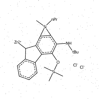 CCC[Si]1(C)c2c(NC(C)(C)C)c(O[Si](C)(C)C)c3c(c21)[CH]([Zr+2])c1ccccc1-3.[Cl-].[Cl-]